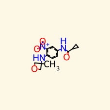 CC1(Nc2ccc(NC(=O)C3CC3)cc2[N+](=O)[O-])COC1